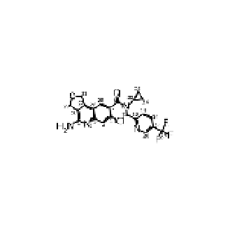 Nc1nc2cc(Cl)c(C(=O)N(Cc3ccc(C(F)(F)F)cn3)C3CC3)cc2c2c1COC2